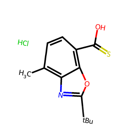 Cc1ccc(C(O)=S)c2oc(C(C)(C)C)nc12.Cl